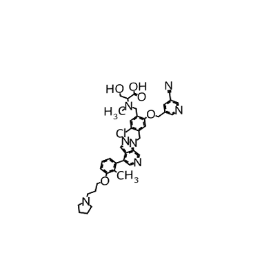 Cc1c(OCCCN2CCCC2)cccc1-c1cncc2c1cnn2Cc1cc(OCc2cncc(C#N)c2)c(CN(C)C(CO)C(=O)O)cc1Cl